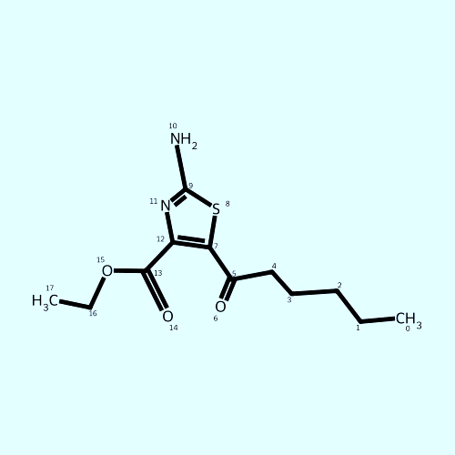 CCCCCC(=O)c1sc(N)nc1C(=O)OCC